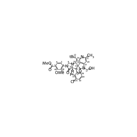 COC(=O)c1ccc(N2CN3[C@@H](CC(C)(C)C)[C@@]4(C(=O)N(CO)c5cc(C)ncc54)[C@@H](c4cccc(Cl)c4F)[C@@H]3C2=O)c(OC)c1